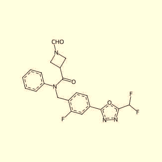 O=CN1CC(C(=O)N(Cc2ccc(-c3nnc(C(F)F)o3)cc2F)c2ccccc2)C1